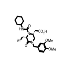 COc1ccc(CN2C[C@@H](CC(=O)O)N(C(=O)NC3CCCCC3)[C@@H](CC(C)C)C2=O)cc1OC